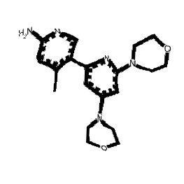 Cc1cc(N)ncc1-c1cc(N2CCOCC2)cc(N2CCOCC2)n1